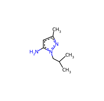 Cc1cc(N)n(CC(C)C)n1